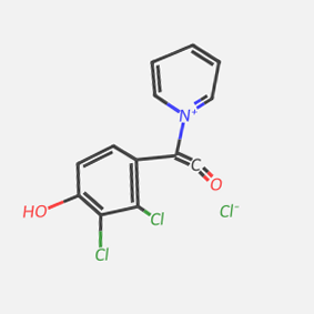 O=C=C(c1ccc(O)c(Cl)c1Cl)[n+]1ccccc1.[Cl-]